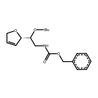 CC(C)(C)OC(CNC(=O)OCc1ccccc1)[C@@H]1C=CCO1